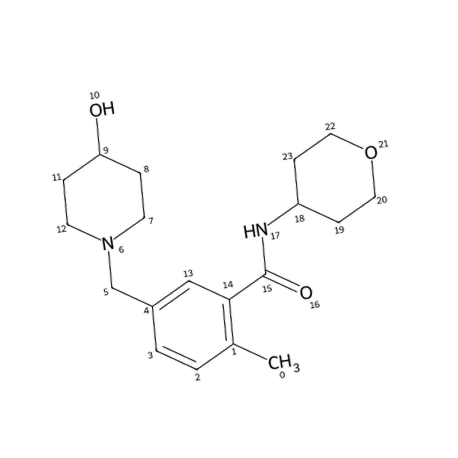 Cc1ccc(CN2CCC(O)CC2)cc1C(=O)NC1CCOCC1